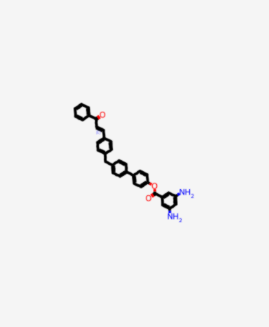 Nc1cc(N)cc(C(=O)Oc2ccc(-c3ccc(Cc4ccc(/C=C/C(=O)c5ccccc5)cc4)cc3)cc2)c1